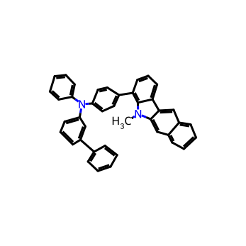 Cn1c2cc3ccccc3cc2c2cccc(-c3ccc(N(c4ccccc4)c4cccc(-c5ccccc5)c4)cc3)c21